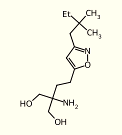 CCC(C)(C)Cc1cc(CCC(N)(CO)CO)on1